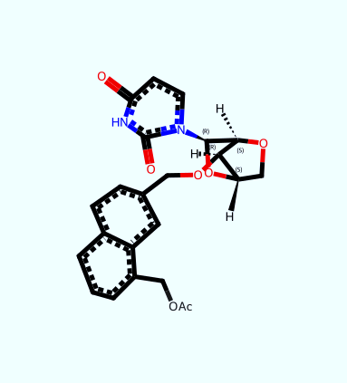 CC(=O)OCc1cccc2ccc(CO[C@H]3[C@@H]4OC[C@@H]3O[C@H]4n3ccc(=O)[nH]c3=O)cc12